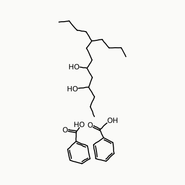 CCCCC(CCCC)CCC(O)CC(O)CCC.O=C(O)c1ccccc1.O=C(O)c1ccccc1